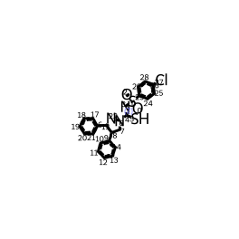 O=S(=O)(/N=C(\S)N1CC(c2ccccc2)C(c2ccccc2)=N1)c1ccc(Cl)cc1